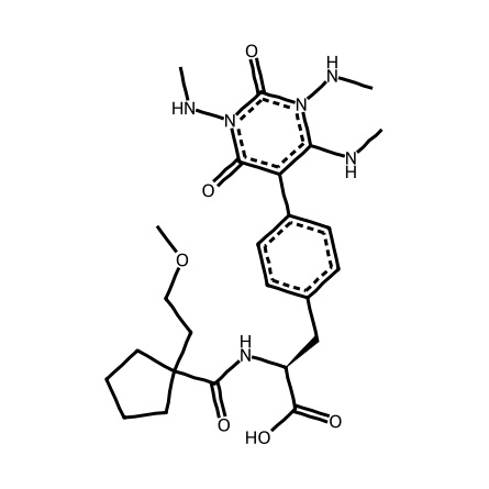 CNc1c(-c2ccc(C[C@H](NC(=O)C3(CCOC)CCCC3)C(=O)O)cc2)c(=O)n(NC)c(=O)n1NC